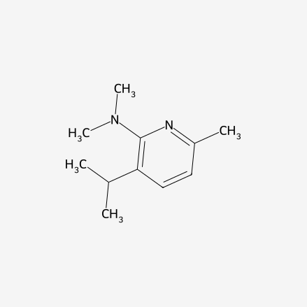 Cc1ccc(C(C)C)c(N(C)C)n1